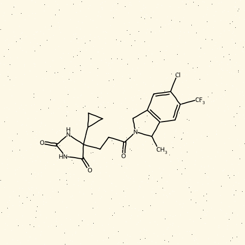 CC1c2cc(C(F)(F)F)c(Cl)cc2CN1C(=O)CCC1(C2CC2)NC(=O)NC1=O